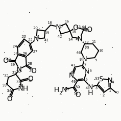 Cc1cc(Nc2nc(N3CCC[C@@H](N4CC5(CN(CC6CN(c7ccc8c(c7)C(=O)N(C7CCC(=O)NC7=O)C8=O)C6)C5)OC4=O)C3)cnc2C(N)=O)sn1